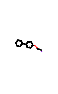 ICCOc1ccc(-c2ccccc2)cc1